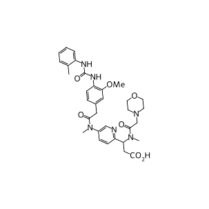 COc1cc(CC(=O)N(C)c2ccc(C(CC(=O)O)N(C)C(=O)CN3CCOCC3)nc2)ccc1NC(=O)Nc1ccccc1C